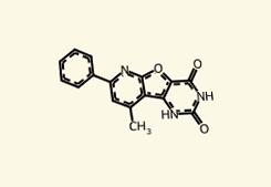 Cc1cc(-c2ccccc2)nc2oc3c(=O)[nH]c(=O)[nH]c3c12